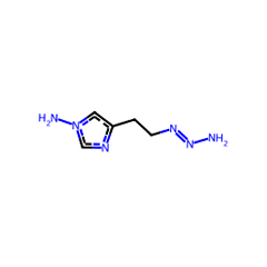 NN=NCCc1cn(N)cn1